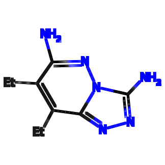 CCc1c(N)nn2c(N)nnc2c1CC